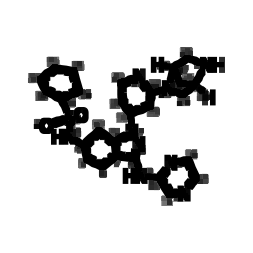 O=S(=O)(Nc1ccc2c(Nc3cnccn3)nn(-c3ccnc(N4C[C@@H]5C[C@H]4CN5)c3)c2c1)c1ccccc1